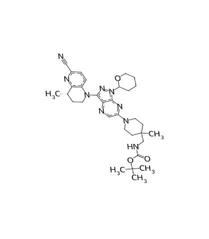 C[C@H]1CCN(c2nn(C3CCCCO3)c3nc(N4CCC(C)(CNC(=O)OC(C)(C)C)CC4)cnc23)c2ccc(C#N)nc21